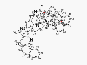 C/C(=N/C12CC13CC1(/N=C(/C)c4cnc5c(ccc6ccccc65)c4C)CC14CC1(/N=C(/C)c5cnc6c(ccc7ccccc76)c5C)CC1(C2)C34)c1cnc2c(ccc3ccccc32)c1C